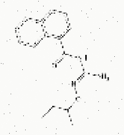 CCC(C)ON=C(N)NC(=O)c1cccc2ccccc12